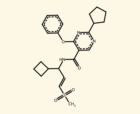 CS(=O)(=O)C=CC(NC(=O)c1cnc(C2CCCC2)nc1Oc1ccccc1)C1CCC1